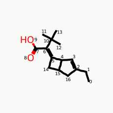 CCC1=CC2C(=C(C(=O)O)C(C)(C)C)CC2C1